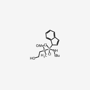 CO[Si](C)(CCO)[Ti]([Cl])([Cl])([NH]C(C)(C)C)[CH]1C=Cc2ccccc21